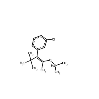 CC(O[SiH](C)C)=C(c1cccc(Cl)c1)C(C)(C)C